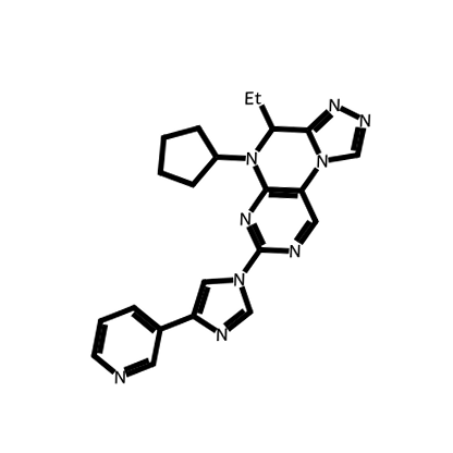 CCC1c2nncn2-c2cnc(-n3cnc(-c4cccnc4)c3)nc2N1C1CCCC1